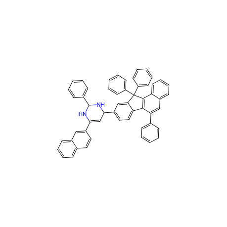 C1=C(c2ccc3ccccc3c2)NC(c2ccccc2)NC1c1ccc2c(c1)C(c1ccccc1)(c1ccccc1)c1c-2c(-c2ccccc2)cc2ccccc12